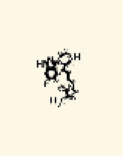 CC1SCN(CCCCC2CNCCN2c2n[nH]c3cc(F)ccc23)C1=O